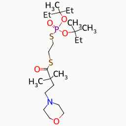 CCC(C)(C)OP(=O)(OC(C)(CC)CC)SCCSC(=O)C(C)(C)CCN1CCOCC1